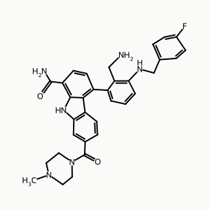 CN1CCN(C(=O)c2ccc3c(c2)[nH]c2c(C(N)=O)ccc(-c4cccc(NCc5ccc(F)cc5)c4CN)c23)CC1